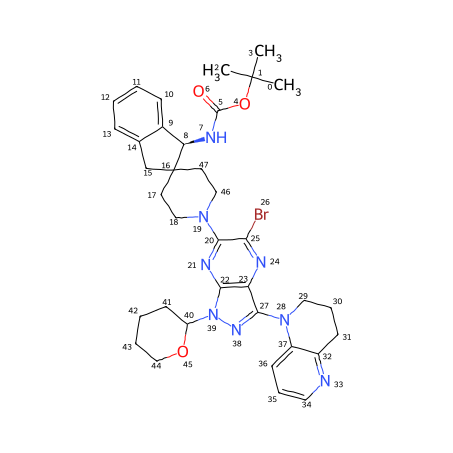 CC(C)(C)OC(=O)N[C@@H]1c2ccccc2CC12CCN(c1nc3c(nc1Br)c(N1CCCc4ncccc41)nn3C1CCCCO1)CC2